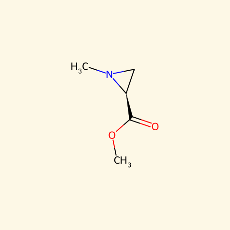 COC(=O)[C@@H]1CN1C